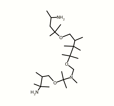 CC(N)CC(C)(C)OCC(C)C(C)(C)C(C)(C)OCN(C)C(C)(C)OCC(C)C(C)(C)N